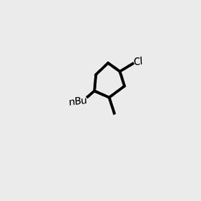 CCCCC1CCC(Cl)CC1C